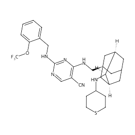 N#Cc1cnc(NCc2ccccc2OC(F)(F)F)nc1NC[C@]12CC3C[C@H](C1)[C@H](NC1CCSCC1)[C@@H](C3)C2